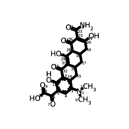 CN(C)c1cc(C(=O)C(=O)O)c(O)c2c1CC1CC3CC(O)=C(C(N)=O)C(=O)C3C(O)=C1C2=O